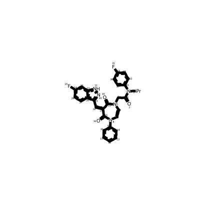 CC(C)N(C(=O)CN1C=CN(c2ccccc2)C(=O)C(=Cc2n[nH]c3cc(F)ccc23)C1=O)c1ccc(F)cc1